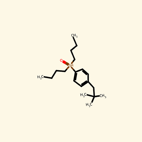 CCCC[SH](=O)(CCCC)c1ccc(CC(C)(C)C)cc1